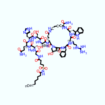 CCCCCCCCCCCCCCCC(=O)NS(=O)(=O)CCCC(=O)NCC(=O)N[C@@H](CO)C(=O)N[C@@H](CCC(N)=O)C(=O)N[C@@H](Cc1c[nH]cn1)C(=O)N[C@@H](CO)C(=O)N[C@@H](CCCC)C(=O)N[C@H]1CCC(=O)NCCCC[C@@H](C(N)=O)NC(=O)[C@H](Cc2c[nH]c3ccccc23)NC(=O)[C@H](CCCNC(=N)N)NC(=O)[C@@H](Cc2ccccc2)NC(=O)[C@@H]2C[C@@H](O)CN2C1=O